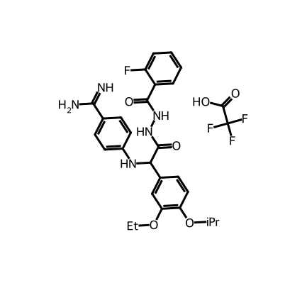 CCOc1cc(C(Nc2ccc(C(=N)N)cc2)C(=O)NNC(=O)c2ccccc2F)ccc1OC(C)C.O=C(O)C(F)(F)F